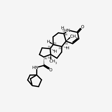 C[C@]12C=CC(=O)N[C@@H]1CC[C@@H]1[C@@H]2CC[C@]2(C)[C@H](C(=O)NC34CCC(CC3)C4)CC[C@@H]12